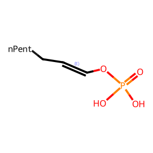 CCCCCC/C=C/OP(=O)(O)O